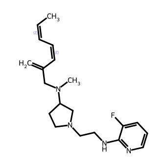 C=C(/C=C\C=C/C)CN(C)C1CCN(CCNc2ncccc2F)C1